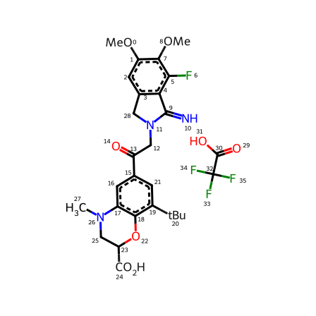 COc1cc2c(c(F)c1OC)C(=N)N(CC(=O)c1cc3c(c(C(C)(C)C)c1)OC(C(=O)O)CN3C)C2.O=C(O)C(F)(F)F